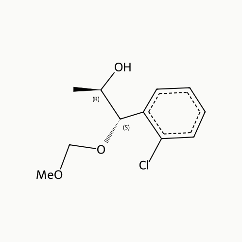 COCO[C@@H](c1ccccc1Cl)[C@@H](C)O